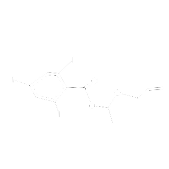 C=CCOC(C)OC(=O)c1c(I)cc(I)cc1I